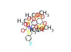 COC1(Cc2cccc(F)c2)SC(=O)C(=O)N1c1cc2c(cc1S(C)(=O)=O)C(S(C)(=O)=O)(S(C)(=O)=O)CCC2(S(C)(=O)=O)S(C)(=O)=O